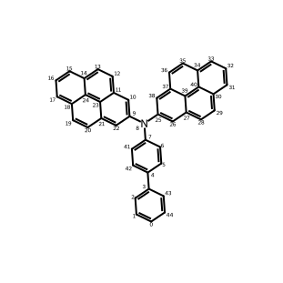 c1ccc(-c2ccc(N(c3cc4ccc5cccc6ccc(c3)c4c56)c3cc4ccc5cccc6ccc(c3)c4c56)cc2)cc1